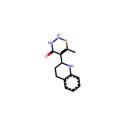 CC1=C(C2CCc3ccccc3N2)C(=O)NNS1